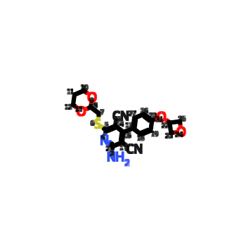 N#Cc1c(N)nc(SCC2OCCCO2)c(C#N)c1-c1ccc(OC2COC2)cc1